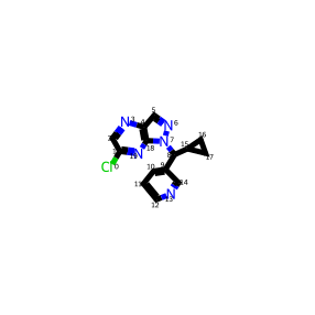 Clc1cnc2cnn(C(c3cccnc3)C3CC3)c2n1